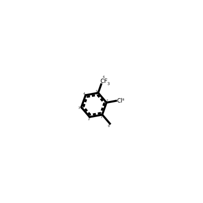 Cc1c[c]cc(C(F)(F)F)c1Cl